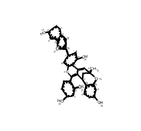 CC12C=C3C(=C(c4ccc(O)cc4O)Oc4cc(-c5cc6ccc(O)cc6o5)cc(O)c43)C(C1)c1ccc(O)cc1O2